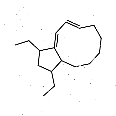 CCC1CC(CC)C2CCCCC/C=C/C=C/12